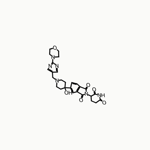 O=C1CCC(N2C(=O)c3ccc(C4(O)CCN(Cc5cnc(N6CCOCC6)nc5)CC4)cc3C2=O)C(=O)N1